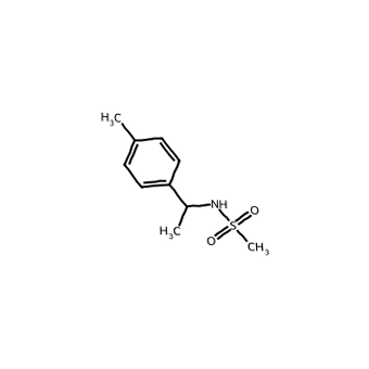 Cc1ccc(C(C)NS(C)(=O)=O)cc1